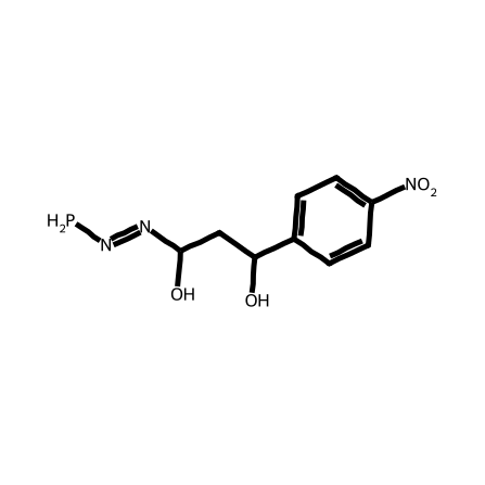 O=[N+]([O-])c1ccc(C(O)CC(O)N=NP)cc1